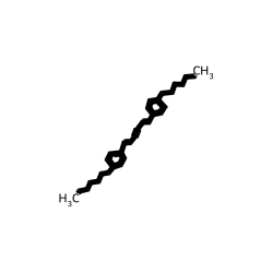 CCCCCCCc1ccc(C=CC#CC=Cc2ccc(CCCCCCC)cc2)cc1